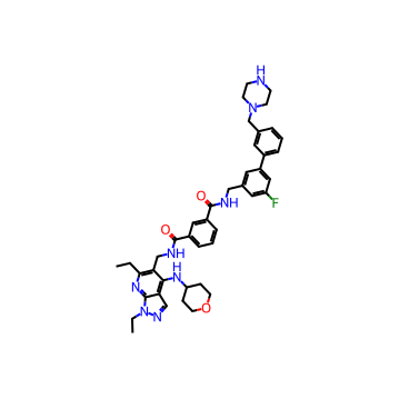 CCc1nc2c(cnn2CC)c(NC2CCOCC2)c1CNC(=O)c1cccc(C(=O)NCc2cc(F)cc(-c3cccc(CN4CCNCC4)c3)c2)c1